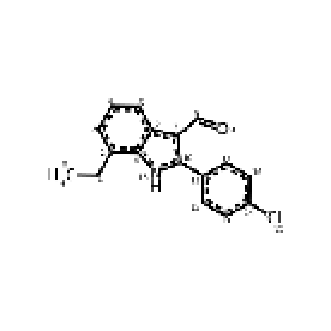 CCc1cccc2c(C=O)c(-c3ccc(Cl)cc3)[nH]c12